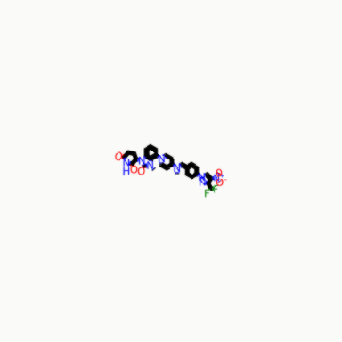 CN(CC1CCC(n2cc([N+](=O)[O-])c(C(F)F)n2)CC1)C1CCN(c2cccc3c2n(C)c(=O)n3C2CCC(=O)NC2=O)CC1